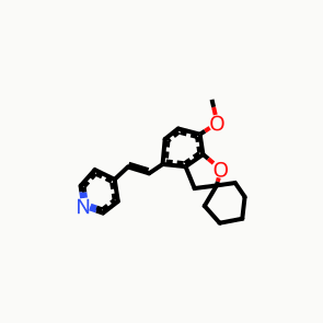 COc1ccc(C=Cc2ccncc2)c2c1OC1(CCCCC1)C2